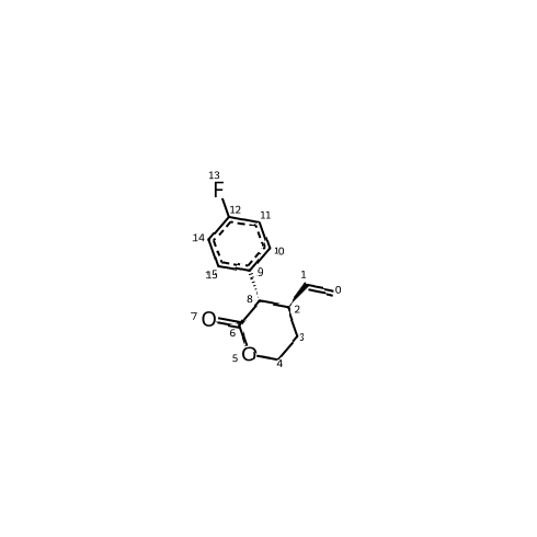 C=C[C@H]1CCOC(=O)[C@@H]1c1ccc(F)cc1